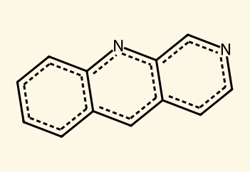 c1ccc2nc3cnccc3cc2c1